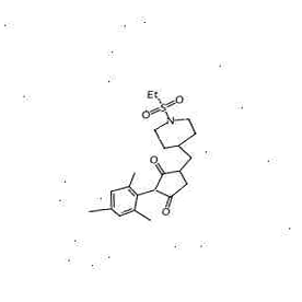 CCS(=O)(=O)N1CCC(CC2CC(=O)C(c3c(C)cc(C)cc3C)C2=O)CC1